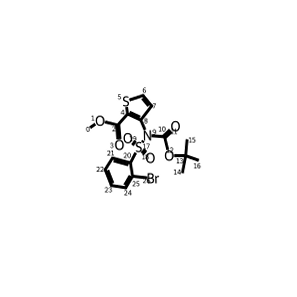 COC(=O)c1sccc1N(C(=O)OC(C)(C)C)S(=O)(=O)c1ccccc1Br